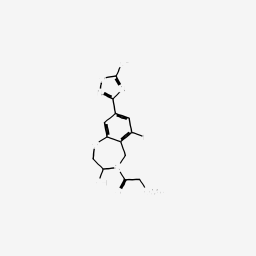 COCC(=O)N1Cc2c(F)cc(-c3noc(C(F)(F)F)n3)cc2OCC1C